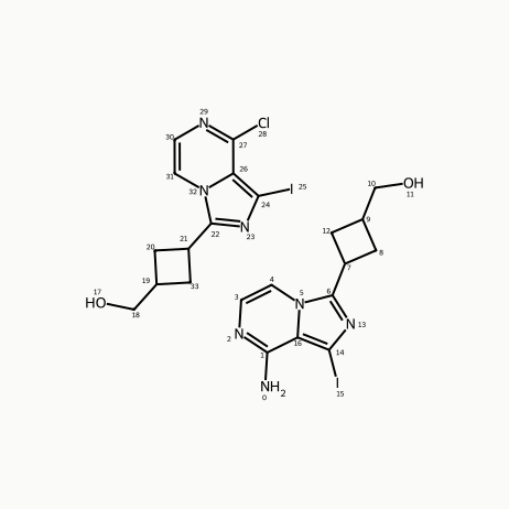 Nc1nccn2c(C3CC(CO)C3)nc(I)c12.OCC1CC(c2nc(I)c3c(Cl)nccn23)C1